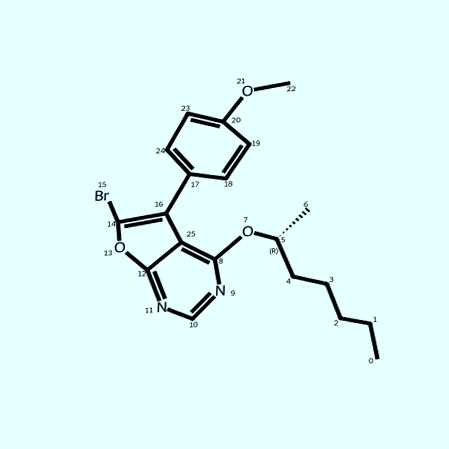 CCCCC[C@@H](C)Oc1ncnc2oc(Br)c(-c3ccc(OC)cc3)c12